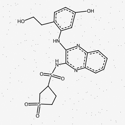 O=S1(=O)CCC(S(=O)(=O)Nc2nc3ccccc3nc2Nc2cc(O)ccc2CCO)C1